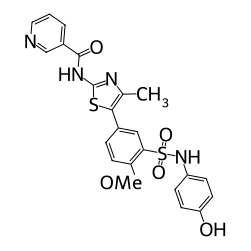 COc1ccc(-c2sc(NC(=O)c3cccnc3)nc2C)cc1S(=O)(=O)Nc1ccc(O)cc1